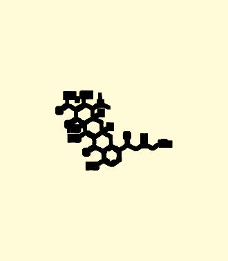 CN(C)[C@@H]1C(O)=C(C(N)=O)C(=O)[C@@]2(O)C(O)=C3C(=O)c4c(O)ccc(C(=O)CNCC(C)(C)C)c4C[C@H]3C[C@@H]12